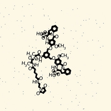 COc1cc2c(cc1OCc1cc(COc3cc4c(cc3OC)C(=O)N3c5ccccc5C[C@H]3C(S(=O)(=O)O)N4)cc(NC(=O)[C@H](C)NC(=O)[C@H](C)NC(=O)CCCCC(=O)NCCN3C(=O)C=CC3=O)c1)N[C@H](S(=O)(=O)O)C1Cc3ccccc3N1C2=O